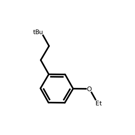 CCOc1cccc(CCC(C)(C)C)c1